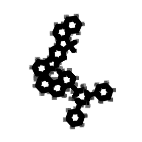 CC1(C)c2cc3c(cc2-c2ccc4ccccc4c21)c1ccccc1n3-c1ccc(-c2nc(-c3ccccc3)nc(-c3ccccc3)n2)c2ccc3ccccc3c12